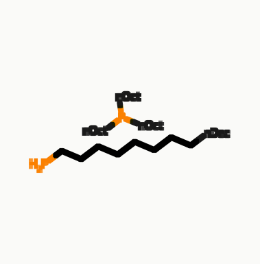 CCCCCCCCCCCCCCCCCCP.CCCCCCCCP(CCCCCCCC)CCCCCCCC